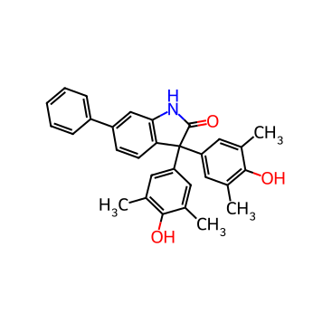 Cc1cc(C2(c3cc(C)c(O)c(C)c3)C(=O)Nc3cc(-c4ccccc4)ccc32)cc(C)c1O